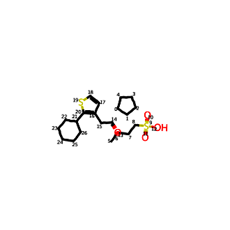 C1CCCC1.CCCCS(=O)(=O)O.O=CCc1ccsc1C1CCCCC1